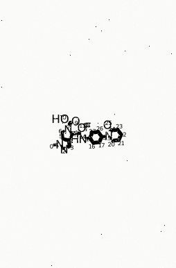 Cn1ncc2c1CN(C(=O)O)[C@H]2C(=O)Nc1ccc(-n2ccccc2=O)cc1F